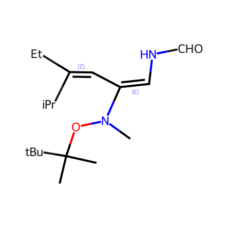 CC/C(=C/C(=C\NC=O)N(C)OC(C)(C)C(C)(C)C)C(C)C